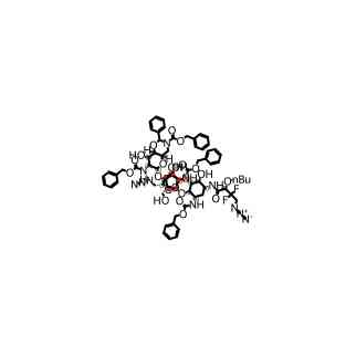 CCCCO[C@H](C(=O)N[C@@H]1C[C@H](NC(=O)OCc2ccccc2)[C@@H](O[C@H]2O[C@H](CN=[N+]=[N-])C[C@@H](O)[C@H]2NC(=O)OCc2ccccc2)[C@H](O[C@@H]2O[C@H](CO)[C@@H](O[C@H]3O[C@H]4CN(C(=O)OCc5ccccc5)C(c5ccccc5)O[C@H]4[C@H](O)[C@H]3NC(=O)OCc3ccccc3)[C@H]2O)[C@H]1O)C(F)(F)CN=[N+]=[N-]